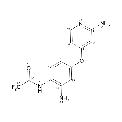 Nc1cc(Oc2ccc(NC(=O)C(F)(F)F)c(N)c2)ccn1